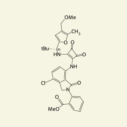 COCc1cc([C@H](Nc2c(Nc3ccc(Cl)c4c3C(=O)N(c3ccccc3C(=O)OC)C4)c(=O)c2=O)C(C)(C)C)oc1C